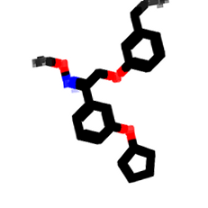 CCCO/N=C(\COc1cccc(CC(=O)O)c1)c1cccc(OC2CCCC2)c1